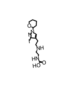 O=C(O)NCCNCCc1cn(C2CCCCO2)nc1I